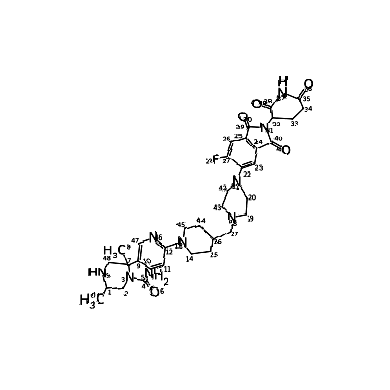 CC1CN(C(N)=O)C(C)(c2ccc(N3CCC(CN4CCN(c5cc6c(cc5F)C(=O)N(C5CCC(=O)NC5=O)C6=O)CC4)CC3)nc2)CN1